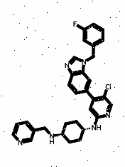 Fc1cccc(Cn2cnc3ccc(-c4cc(N[C@H]5CC[C@H](NCc6cccnc6)CC5)ncc4Cl)cc32)c1